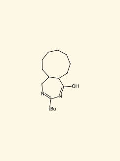 CC(C)(C)C1=NCC2CCCCCCCC2C(O)=N1